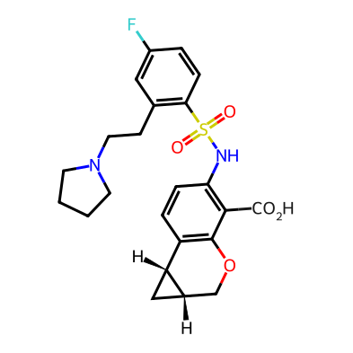 O=C(O)c1c(NS(=O)(=O)c2ccc(F)cc2CCN2CCCC2)ccc2c1OC[C@@H]1C[C@H]21